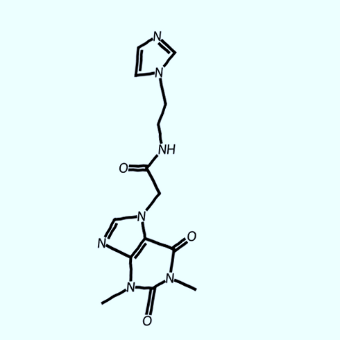 Cn1c(=O)c2c(ncn2CC(=O)NCCn2ccnc2)n(C)c1=O